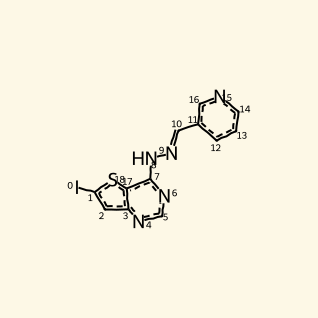 Ic1cc2ncnc(NN=Cc3cccnc3)c2s1